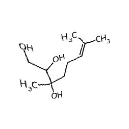 CC(C)=CCCC(C)(O)C(O)CO